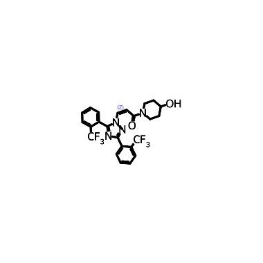 O=C(/C=C\n1nc(-c2ccccc2C(F)(F)F)nc1-c1ccccc1C(F)(F)F)N1CCC(O)CC1